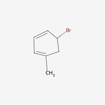 CC1=CC=CC(Br)C1